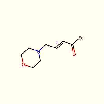 CCC(=O)/C=C/CN1CCOCC1